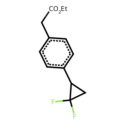 CCOC(=O)Cc1ccc(C2CC2(F)F)cc1